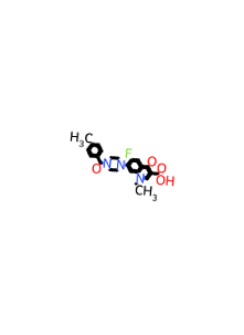 CCn1cc(C(=O)O)c(=O)c2cc(F)c(N3CCN(C(=O)c4ccc(C)cc4)CC3)cc21